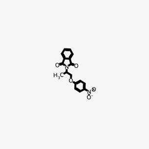 CC(COc1ccc([N+](=O)[O-])cc1)N1C(=O)c2ccccc2C1=O